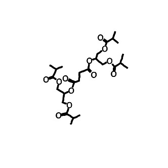 CC(C)C(=O)OCC(COC(=O)C(C)C)OC(=O)CCC(=O)OC(COC(=O)C(C)C)COC(=O)C(C)C